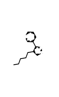 CCCCCc1c[nH]nc1-c1cccnc1